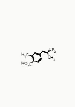 CC(=Cc1ccc(C(=O)O)c(C)c1)C(F)(F)F